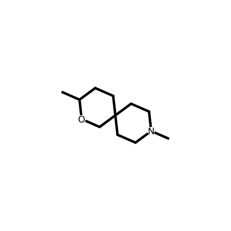 CC1CCC2(CCN(C)CC2)CO1